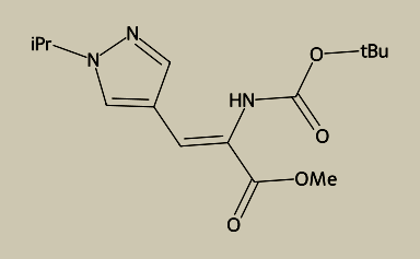 COC(=O)/C(=C/c1cnn(C(C)C)c1)NC(=O)OC(C)(C)C